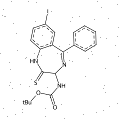 CC(C)(C)OC(=O)NC1N=C(c2ccccc2)c2cc(I)ccc2NC1=S